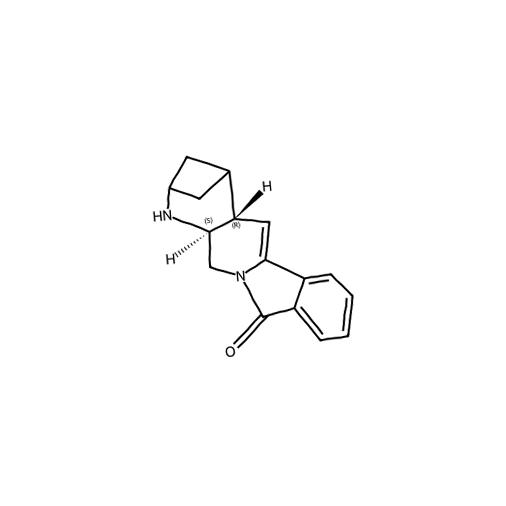 O=C1c2ccccc2C2=C[C@H]3C4CC(C4)N[C@@H]3CN12